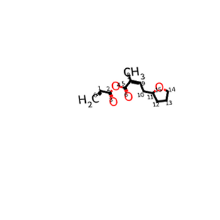 C=CC(=O)OC(=O)C(C)=CCC1CCCO1